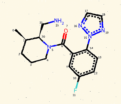 C[C@@H]1CCCN(C(=O)c2cc(F)ccc2-n2nccn2)[C@@H]1CN